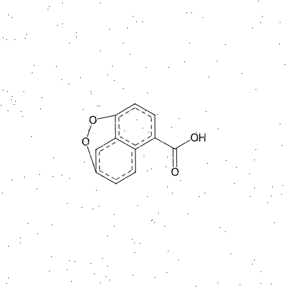 O=C(O)c1ccc2c3cc(ccc13)OO2